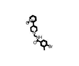 Cc1cc(C(=O)NCN2CC=C(c3cccc[n+]3[O-])CC2)ccc1Br